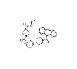 CCOC(=O)N1CCN(C(=O)[C@@H]2CCCN(C3CCN(C(=O)c4c5ccccc5cc5ccccc45)CC3)C2)CC1